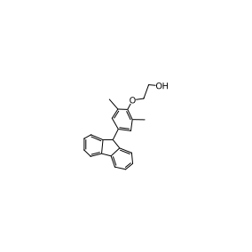 Cc1cc(C2c3ccccc3-c3ccccc32)cc(C)c1OCCO